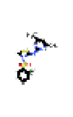 Cc1cc(C)nc(N=C2SCN2S(=O)(=O)c2ccccc2Cl)n1